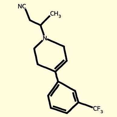 CC(CC#N)N1CC=C(c2cccc(C(F)(F)F)c2)CC1